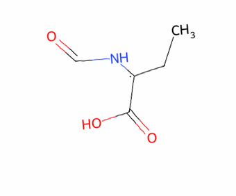 CC[C](NC=O)C(=O)O